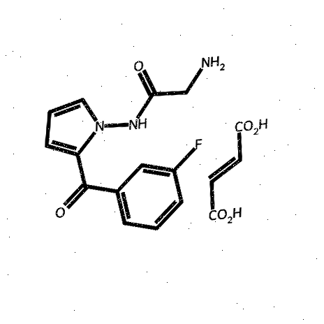 NCC(=O)Nn1cccc1C(=O)c1cccc(F)c1.O=C(O)/C=C/C(=O)O